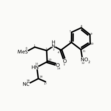 CSCC(NC(=O)c1ccccc1[N+](=O)[O-])C(=O)NC(C)C#N